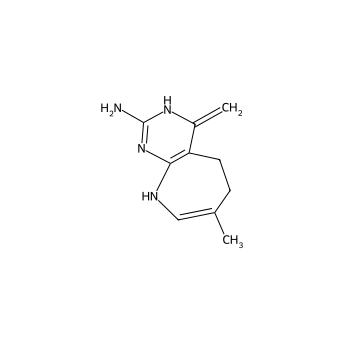 C=C1NC(N)=NC2=C1CCC(C)=CN2